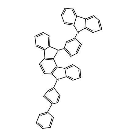 c1ccc(-c2ccc(-n3c4ccccc4c4c3ccc3c5ccccc5n(-c5cccc(-n6c7ccccc7c7ccccc76)c5)c34)cc2)cc1